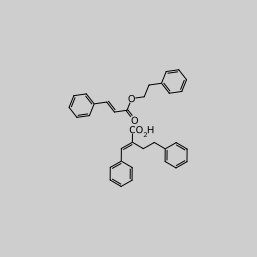 O=C(C=Cc1ccccc1)OCCc1ccccc1.O=C(O)C(=Cc1ccccc1)CCc1ccccc1